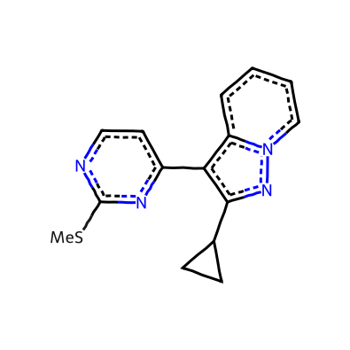 CSc1nccc(-c2c(C3CC3)nn3ccccc23)n1